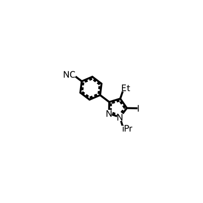 CCc1c(-c2ccc(C#N)cc2)nn(C(C)C)c1I